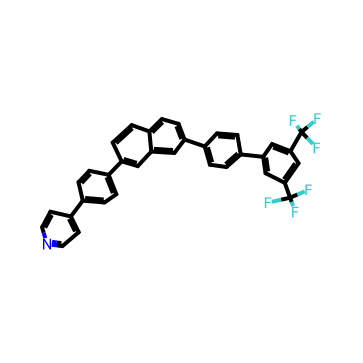 FC(F)(F)c1cc(-c2ccc(-c3ccc4ccc(-c5ccc(-c6ccncc6)cc5)cc4c3)cc2)cc(C(F)(F)F)c1